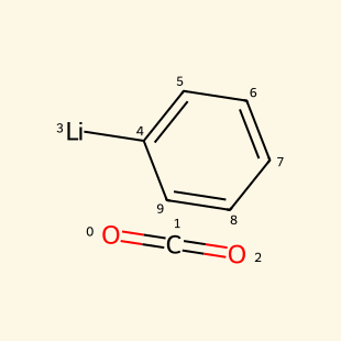 O=C=O.[Li][c]1ccccc1